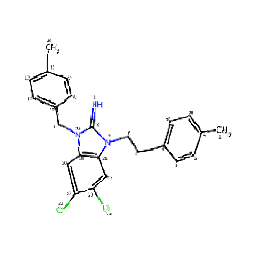 Cc1ccc(CCn2c(=N)n(Cc3ccc(C)cc3)c3cc(Cl)c(Cl)cc32)cc1